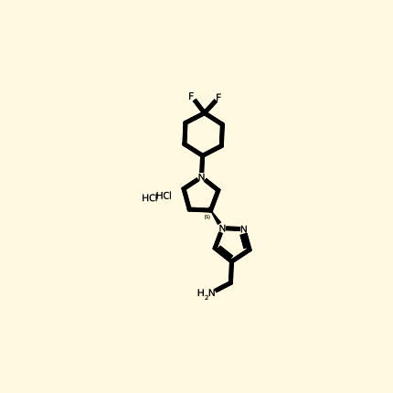 Cl.Cl.NCc1cnn([C@H]2CCN(C3CCC(F)(F)CC3)C2)c1